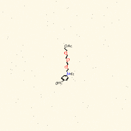 CCN(CCOCCOCCOCCOC(C)=O)c1ccc(C=O)cc1